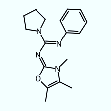 Cc1o/c(=N/C(=N/c2ccccc2)N2CCCC2)n(C)c1C